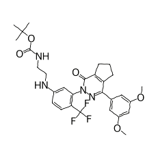 COc1cc(OC)cc(-c2nn(-c3cc(NCCNC(=O)OC(C)(C)C)ccc3C(F)(F)F)c(=O)c3c2CCC3)c1